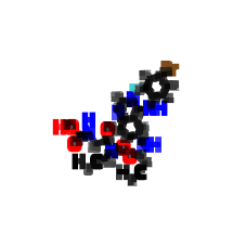 C=CC(=O)Nc1cc2c(Nc3ccc(Br)cc3F)ncnc2cc1ON(CC)C(=O)CNC(=O)O